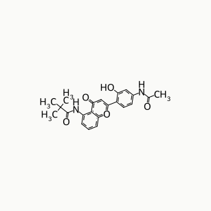 CC(=O)Nc1ccc(-c2cc(=O)c3c(NC(=O)C(C)(C)C)cccc3o2)c(O)c1